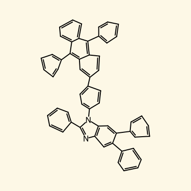 c1ccc(-c2cc3nc(-c4ccccc4)n(-c4ccc(-c5ccc6c(-c7ccccc7)c7ccccc7c(-c7ccccc7)c6c5)cc4)c3cc2-c2ccccc2)cc1